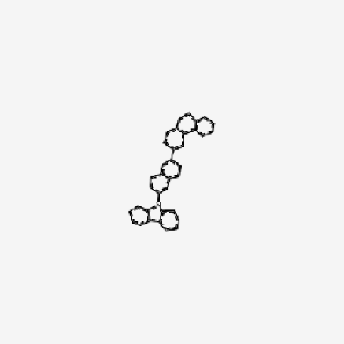 c1ccc2c(c1)ccc1ccc(-c3ccc4cc(-n5c6ccccc6c6ccccc65)ccc4c3)cc12